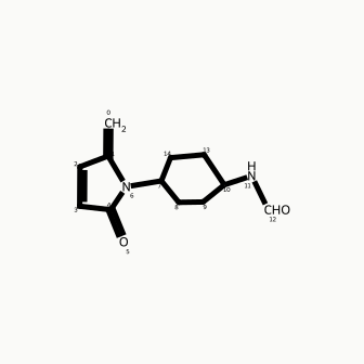 C=C1C=CC(=O)N1C1CCC(NC=O)CC1